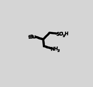 CC(C)(C)C(CN)CS(=O)(=O)O